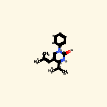 CC(C)=Cc1cn(-c2ccccc2)c(=O)nc1C(C)C